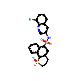 O=S1(=O)CCCc2cc(S(=O)(=O)Nc3cnc4c(Br)cccc4c3)c3ccccc3c21